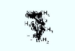 CCCNC(=O)NCCCn1c(NC(=O)c2cc(Cc3ccccc3COC(=O)NCCCn3c(NC(=O)c4cc(C)nn4CC)nc4cc(C(N)=O)ncc43)nn2CC)nc2cc(C(N)=O)cc(OC)c21